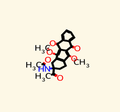 COc1c2c(c(OC)c3c1C(=O)c1ccccc1C3=O)CC(NC(C)=O)(C(C)=O)CC2